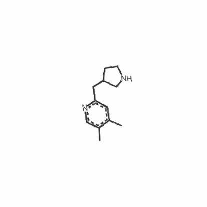 Cc1cnc(CC2CCNC2)cc1C